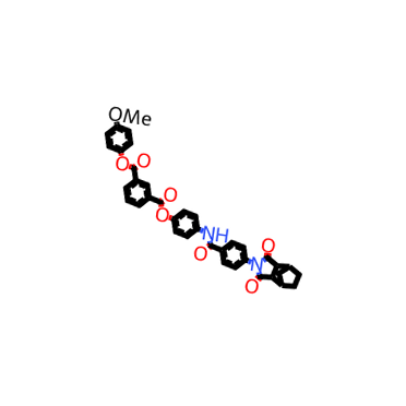 COc1ccc(OC(=O)c2cccc(C(=O)Oc3ccc(NC(=O)c4ccc(N5C(=O)C6C7CCC(C7)C6C5=O)cc4)cc3)c2)cc1